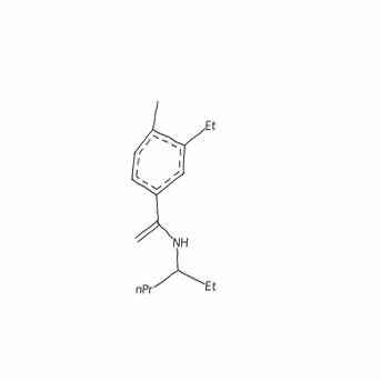 C=C(NC(CC)CCC)c1ccc(C)c(CC)c1